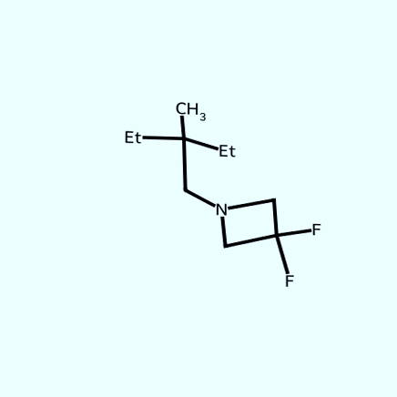 CCC(C)(CC)CN1CC(F)(F)C1